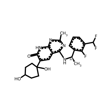 Cc1nc(N[C@H](C)c2cccc(C(F)F)c2F)c2cc(C3(O)CCC(O)CC3)c(=O)[nH]c2n1